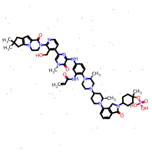 C=CC(=O)Nc1cc(Nc2nc(-c3ccnc(N4CCn5c(cc6c5CC(C)(C)C6)C4=O)c3CO)cn(C)c2=O)ccc1N1CCN(C2CCN(c3cccc4c3CN(C3CCC(C)(OP(=O)(O)O)CC3)C4=O)[C@H](C)C2)C[C@@H]1C